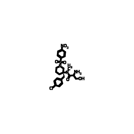 CN(C(=O)C(N)CO)[C@@]1(Cc2ccc(Cl)cc2)CCCN(S(=O)(=O)c2ccc([N+](=O)[O-])cc2)C1